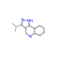 CC(C)c1n[nH]c2c1cnc1ccccc12